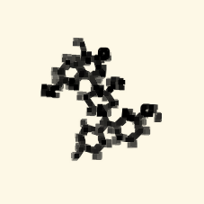 CC[C@H]1CN(C(c2ccc(C)cc2)c2cccc(C(F)(F)F)n2)CCN1c1nc(=O)n(C)c2ccc(C#N)nc12